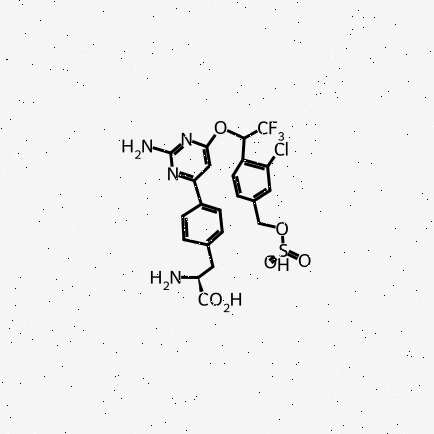 Nc1nc(OC(c2ccc(CO[SH](=O)=O)cc2Cl)C(F)(F)F)cc(-c2ccc(C[C@H](N)C(=O)O)cc2)n1